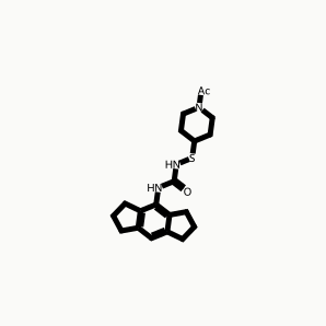 CC(=O)N1CCC(SNC(=O)Nc2c3c(cc4c2CCC4)CCC3)CC1